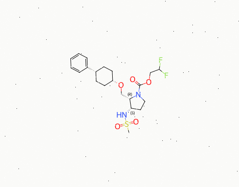 CS(=O)(=O)N[C@H]1CCN(C(=O)OCC(F)F)[C@H]1CO[C@H]1CC[C@@H](c2ccccc2)CC1